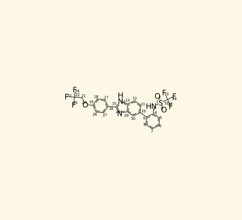 O=S(=O)(Nc1ccccc1-c1ccc2[nH]c(-c3ccc(OCC(F)(F)F)cc3)nc2c1)C(F)(F)F